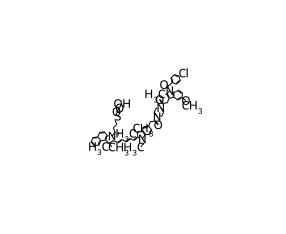 CCN1/C(=C/C=C/C=C/C2=[N+](CCCCSOOO)c3ccc4ccccc4c3C2(C)C)C(C)(C)c2cc(CC(=O)N3CCN(C(=O)Cc4c(C)n(C(=O)c5ccc(Cl)cc5)c5ccc(OC)cc45)CC3)ccc21